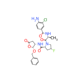 C[C@H](NC(=O)c1ccc(N)c(Cl)c1)C(=O)N1CC(F)C[C@H]1C(=O)N[C@H]1CC(=O)O[C@H]1OCc1ccccc1